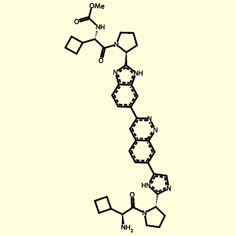 COC(=O)N[C@H](C(=O)N1CCC[C@H]1c1nc2ccc(-c3cc4ccc(-c5cnc([C@@H]6CCCN6C(=O)[C@@H](N)C6CCC6)[nH]5)cc4nn3)cc2[nH]1)C1CCC1